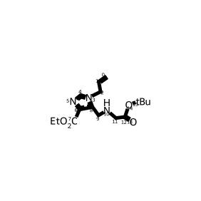 C=CCn1cnc(C(=O)OCC)c1CNCC(=O)OC(C)(C)C